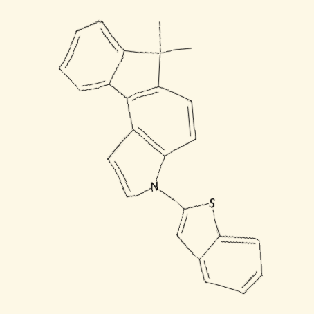 CC1(C)c2ccccc2-c2c1ccc1c2ccn1-c1cc2ccccc2s1